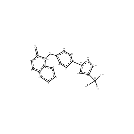 O=c1ccc2ccccc2n1Cc1ccc(-c2noc(C(F)(F)F)n2)cn1